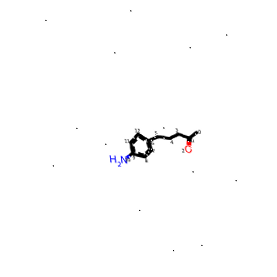 CC(=O)CCCc1ccc(N)cc1